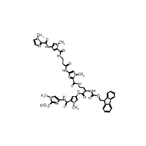 CCOC(=O)c1nc(NC(=O)c2cc(NC(=O)C(CCNC(=O)c3nc(NC(=O)CCNC(=O)c4cc(NC(=O)c5nccn5C)cn4C)cn3C)NC(=O)OCC3c4ccccc4-c4ccccc43)cn2C)cn1C